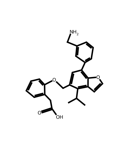 CC(C)c1c(COc2ccccc2CC(=O)O)cc(-c2cccc(CN)c2)c2occc12